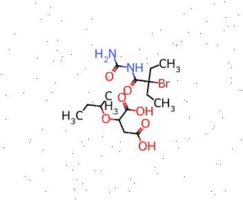 CCC(Br)(CC)C(=O)NC(N)=O.CCC(C)OC(CC(=O)O)C(=O)O